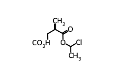 C=C(CC(=O)O)C(=O)OC(C)Cl